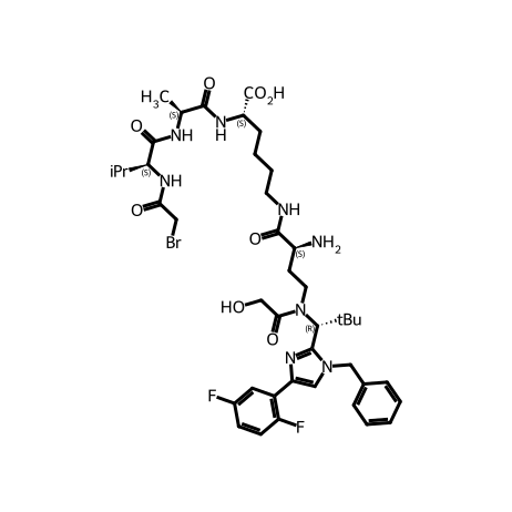 CC(C)[C@H](NC(=O)CBr)C(=O)N[C@@H](C)C(=O)N[C@@H](CCCCNC(=O)[C@@H](N)CCN(C(=O)CO)[C@@H](c1nc(-c2cc(F)ccc2F)cn1Cc1ccccc1)C(C)(C)C)C(=O)O